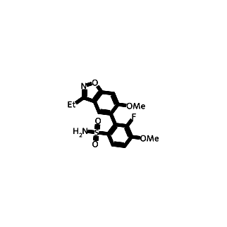 CCc1noc2cc(OC)c(-c3c(S(N)(=O)=O)ccc(OC)c3F)cc12